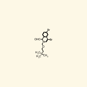 C[Si](C)(C)CCOCN1C=C(Br)c2cc(Br)ccc2C1C=O